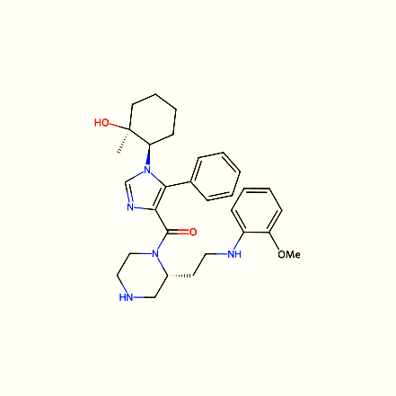 COc1ccccc1NCC[C@@H]1CNCCN1C(=O)c1ncn([C@@H]2CCCC[C@]2(C)O)c1-c1ccccc1